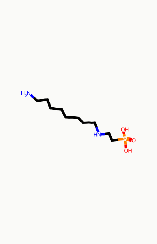 NCCCCCCCCNCCP(=O)(O)O